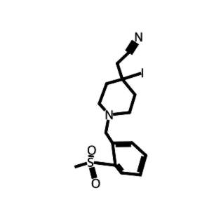 CS(=O)(=O)c1ccccc1CN1CCC(I)(CC#N)CC1